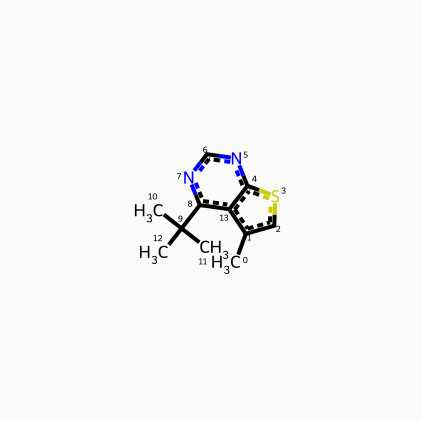 Cc1csc2ncnc(C(C)(C)C)c12